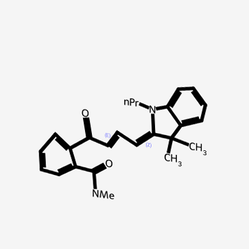 CCCN1/C(=C\C=C\C(=O)c2ccccc2C(=O)NC)C(C)(C)c2ccccc21